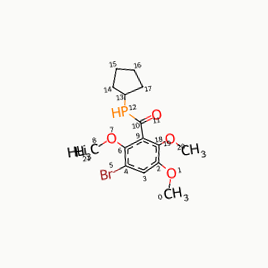 COc1cc(Br)c(OC)c(C(=O)PC2CCCC2)c1OC.[LiH]